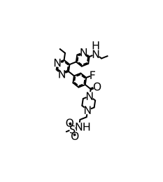 CCNc1ccc(-c2c(CC)ncnc2-c2ccc(C(=O)N3CCN(CCNS(C)(=O)=O)CC3)c(F)c2)cn1